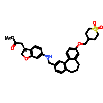 COC(=O)C[C@@H]1COc2cc(NCc3ccc4c(c3)-c3ccc(OCC5CCS(=O)(=O)CC5)cc3CCC4)ccc21